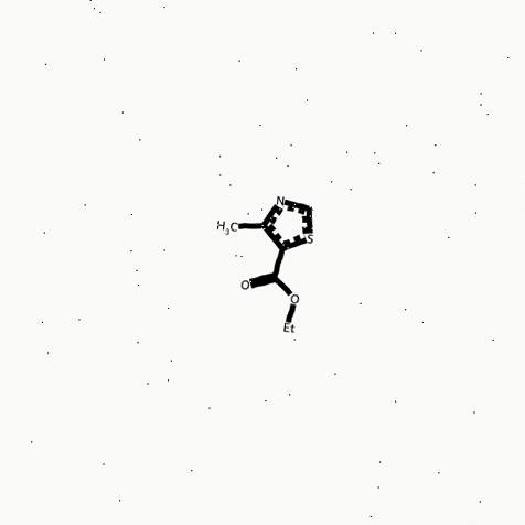 CCOC(=O)c1s[c]nc1C